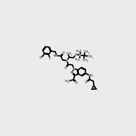 CC(CO[Si](C)(C)C(C)(C)C)N(CC(=O)NCc1cccc(Cl)c1F)C(=O)Cn1nc(C(N)=O)c2cc(NC(=O)CC3CC3)ccc21